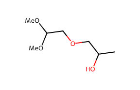 COC(COCC(C)O)OC